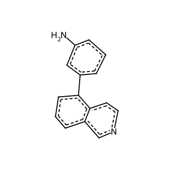 Nc1cccc(-c2cccc3cnccc23)c1